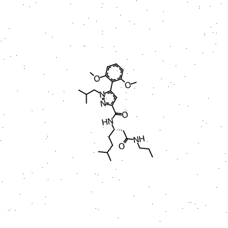 CCCNC(=O)C[C@H](CCC(C)C)NC(=O)c1cc(-c2c(OC)cccc2OC)n(CC(C)C)n1